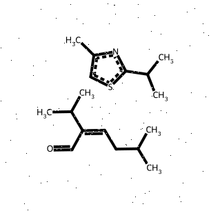 CC(C)CC=C(C=O)C(C)C.Cc1csc(C(C)C)n1